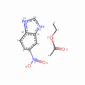 CCOC(C)=O.O=[N+]([O-])c1ccc2nc[nH]c2c1